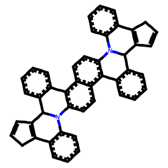 C1=CC2=C(C1)c1ccccc1N1c3ccc4c5c(ccc4c3-c3ccccc3C21)N1c2ccccc2C2=C(C=CC2)C1c1ccccc1-5